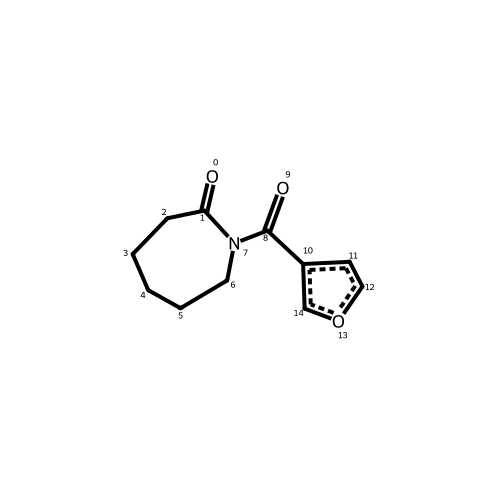 O=C1CCCCCN1C(=O)c1ccoc1